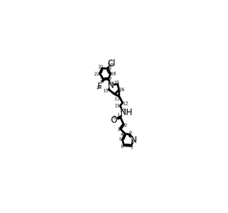 O=C(/C=C/c1cccnc1)NCCC1C2CN(c3cc(Cl)ccc3F)CC12